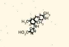 Cc1cc(CN2CCN[C@@H](C)C2)c(C)c(Nc2nnc(C(=O)O)o2)c1